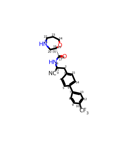 N#CC(Cc1ccc(-c2ccc(C(F)(F)F)cc2)cc1)NC(=O)[C@@H]1CNCCCO1